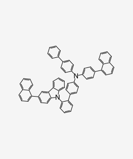 c1ccc(-c2ccc(N(c3ccc(-c4ccccc4-n4c5ccccc5c5cc(-c6cccc7ccccc67)ccc54)cc3)c3ccc(-c4cccc5ccccc45)cc3)cc2)cc1